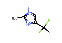 CC(C)(C)c1nc(C(C)(F)F)c[nH]1